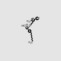 CCCCCCCCc1ccc([C@H]2CCN[C@@H]2COCCCc2cc(-c3ccncc3)nnc2C)cc1.Cl